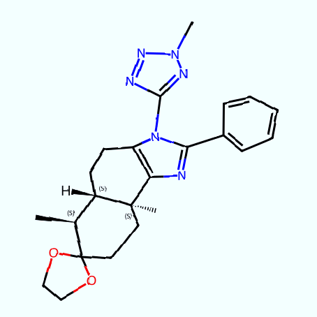 C[C@H]1[C@@H]2CCc3c(nc(-c4ccccc4)n3-c3nnn(C)n3)[C@@]2(C)CCC12OCCO2